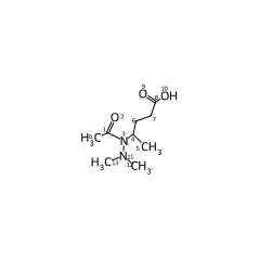 CC(=O)N(C(C)CCC(=O)O)N(C)C